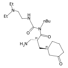 CCCCN(C(=O)NCCN(CC)CC)C(=O)[C@@H](CN)C[C@H]1CCCC(=O)C1